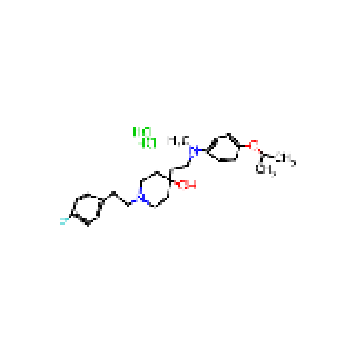 CC(C)Oc1ccc(N(C)CCC2(O)CCN(CCc3ccc(F)cc3)CC2)cc1.Cl.Cl